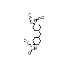 O=C=NC1(N=C=O)CCC(CC2CCC(N=C=O)(N=C=O)CC2)CC1